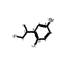 [CH2]C(CF)c1cc(Br)ccc1I